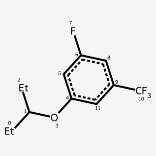 CCC(CC)Oc1cc(F)cc(C(F)(F)F)c1